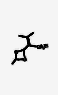 CCOC(=O)C(=C(C)C)C1OC(C)O1